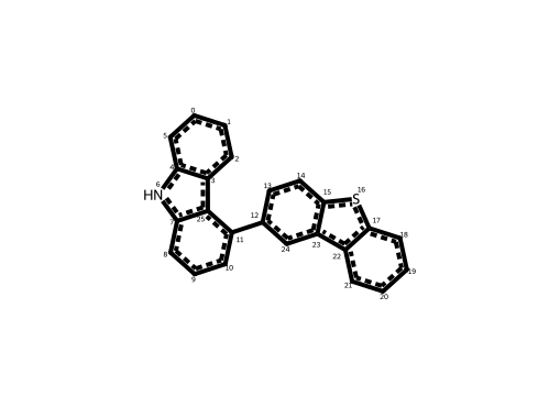 c1ccc2c(c1)[nH]c1cccc(-c3ccc4sc5ccccc5c4c3)c12